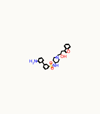 Nc1cccc(-c2cccc(S(=O)(=O)NC3CCN(CC(O)Cc4coc5ccccc45)CC3)c2)c1